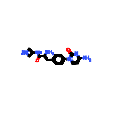 Nc1ccn(-c2ccc(CC(N)C(=O)NC3CNC3)cc2)c(=O)n1